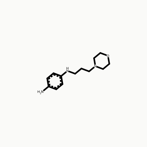 Nc1ccc(NCCCN2CCOCC2)cc1